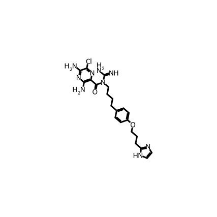 N=C(N)N(CCCCc1ccc(OCCCc2ncc[nH]2)cc1)C(=O)c1nc(Cl)c(N)nc1N